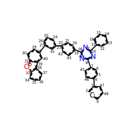 c1ccc(-c2ccc(-c3nc(-c4ccccc4)nc(-c4ccc(-c5cccc(-c6ccc7oc8ccccc8c7c6)c5)cc4)n3)cc2)cc1